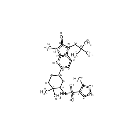 Cc1oncc1S(=O)(=O)NC1CC(c2ccc3c(n2)n(C)c(=O)n3CC(C)(C)C)CCC1(C)C